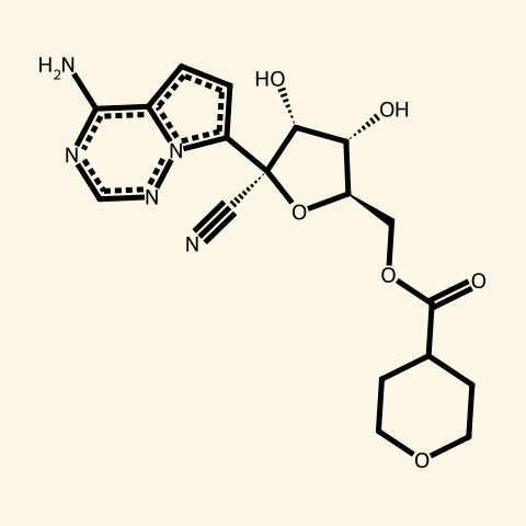 N#C[C@@]1(c2ccc3c(N)ncnn23)O[C@H](COC(=O)C2CCOCC2)[C@@H](O)[C@H]1O